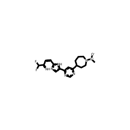 C[S+]([O-])N1CCCC(c2cc(-c3cnc(/C=C\C(=N)C(F)F)[nH]3)ncn2)CC1